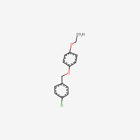 CCOC(=O)COc1ccc(OCc2ccc(Cl)cc2)cc1